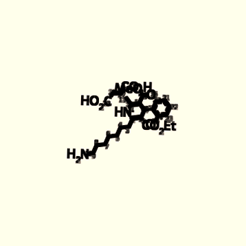 CCOC(=O)C1=C(CCCCCCCN)NC(C)=C(C(=O)OC)[C@H]1c1ccccc1Cl.O=C(O)C=CC(=O)O